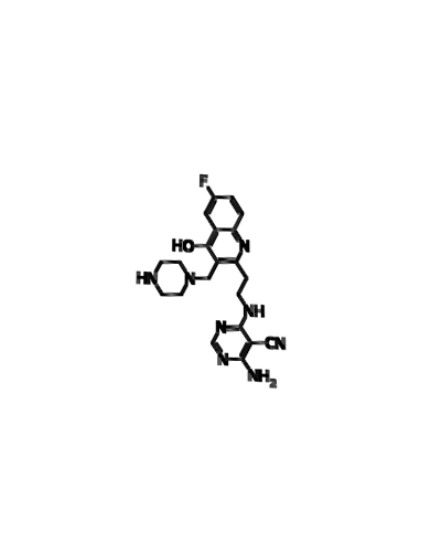 N#Cc1c(N)ncnc1NCCc1nc2ccc(F)cc2c(O)c1CN1CCNCC1